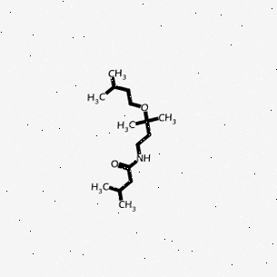 CC(C)CCOC(C)(C)CCNC(=O)CC(C)C